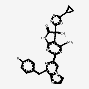 CC1(c2nnc(C3CC3)o2)C(=O)Nc2nc(-c3cn4ccnc4c(Cc4ccc(F)cc4)n3)nc(N)c21